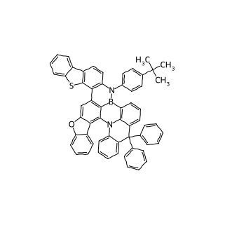 CC(C)(C)c1ccc(N2B3c4cccc5c4N(c4ccccc4C5(c4ccccc4)c4ccccc4)c4c3c(cc3oc5ccccc5c43)-c3c2ccc2c3sc3ccccc32)cc1